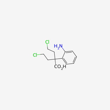 Nc1ccccc1C(CCCl)(CCCl)C(=O)O